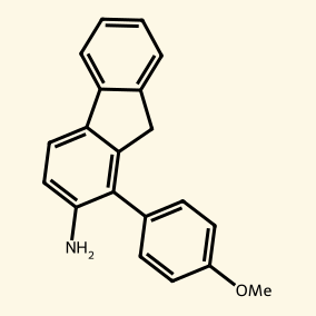 COc1ccc(-c2c(N)ccc3c2Cc2ccccc2-3)cc1